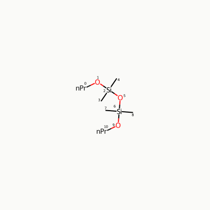 CCCO[Si](C)(C)O[Si](C)(C)OCCC